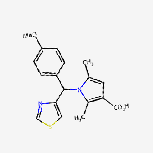 COc1ccc(C(c2cscn2)n2c(C)cc(C(=O)O)c2C)cc1